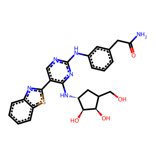 NC(=O)Cc1cccc(Nc2ncc(-c3nc4ccccc4s3)c(N[C@@H]3CC(CO)[C@@H](O)[C@H]3O)n2)c1